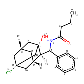 CCCC(=O)NC(c1ccccc1)[C@H]1[C@H]2C[C@@H]3C[C@](Cl)(C2)C[C@@]1(O)C3